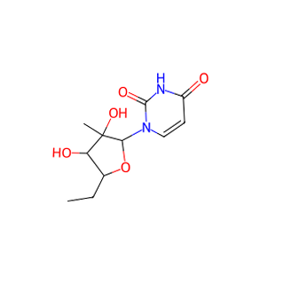 CCC1OC(n2ccc(=O)[nH]c2=O)C(C)(O)C1O